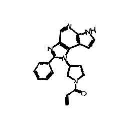 C=CC(=O)N1CCC(n2c(-c3ccccc3)nc3cnc4[nH]ccc4c32)C1